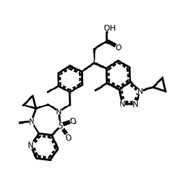 Cc1ccc([C@@H](CC(=O)O)c2ccc3c(nnn3C3CC3)c2C)cc1CN1CC2(CC2)N(C)c2ncccc2S1(=O)=O